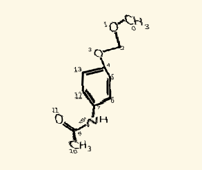 COCOc1ccc(NC(C)=O)cc1